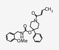 CC=CC(=O)N1CCC(OC(=O)NCc2ccccc2OC)(c2ccccc2)CC1